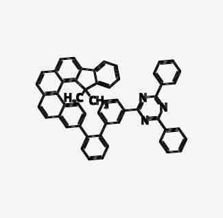 CC1(C)c2ccccc2-c2ccc3ccc4ccc5cc(-c6ccccc6-c6cccc(-c7nc(-c8ccccc8)nc(-c8ccccc8)n7)c6)ccc5c4c3c21